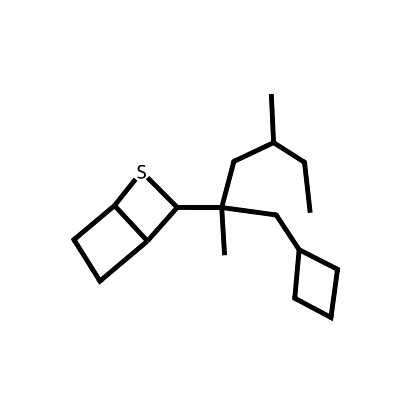 CCC(C)CC(C)(CC1CCC1)C1SC2CCC21